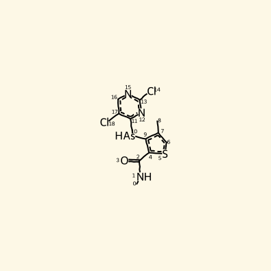 CNC(=O)c1scc(C)c1[AsH]c1nc(Cl)ncc1Cl